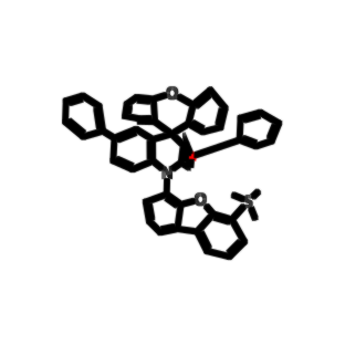 CS(C)(C)c1cccc2c1oc1c(N3c4ccc(-c5ccccc5)cc4C4(c5ccccc5Oc5ccccc54)c4cc(-c5ccccc5)ccc43)cccc12